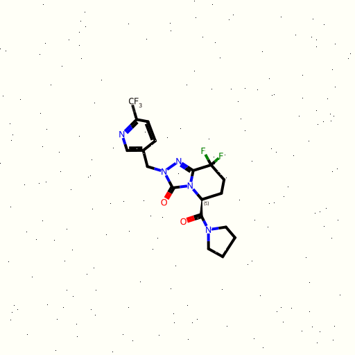 O=C([C@@H]1CCC(F)(F)c2nn(Cc3ccc(C(F)(F)F)nc3)c(=O)n21)N1CCCC1